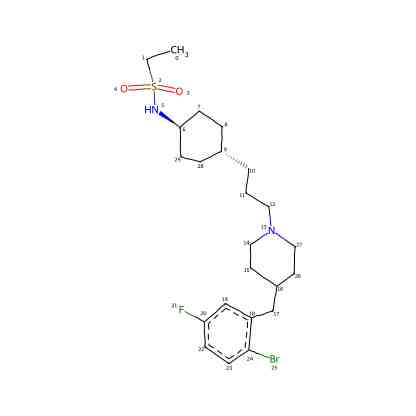 CCS(=O)(=O)N[C@H]1CC[C@H](CCCN2CCC(Cc3cc(F)ccc3Br)CC2)CC1